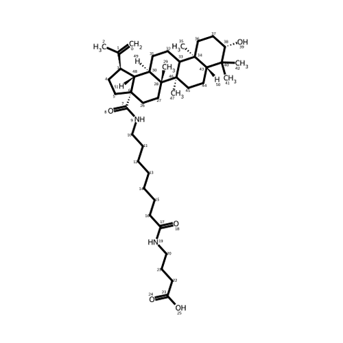 C=C(C)[C@@H]1CC[C@]2(C(=O)NCCCCCCCC(=O)NCCCC(=O)O)CC[C@]3(C)[C@H](CCC4[C@@]5(C)CC[C@H](O)C(C)(C)[C@@H]5CC[C@]43C)[C@@H]12